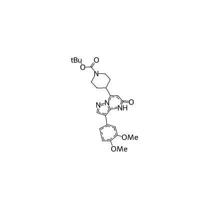 COc1ccc(-c2cnn3c(C4CCN(C(=O)OC(C)(C)C)CC4)cc(=O)[nH]c23)cc1OC